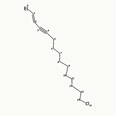 CCC=CC#CCCCCCCCCCCCl